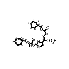 O=C(CC=C(C(=O)O)c1csc(NC(=O)OCc2ccccc2)n1)OCc1ccccc1